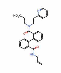 C=CCNC(=O)c1ccccc1-c1ccccc1C(=O)N(CCC(=O)O)CCc1ccccn1